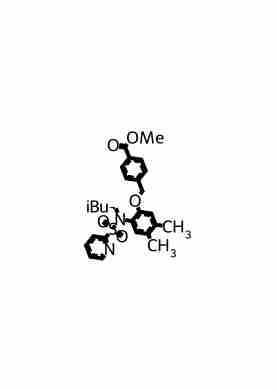 CC[C@@H](C)CN(c1cc(C)c(C)cc1OCc1ccc(C(=O)OC)cc1)S(=O)(=O)c1ccccn1